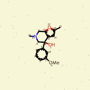 COc1cccc(C2(O)CN(C)Cc3oc(C)cc32)c1